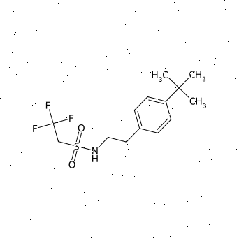 CC(C)(C)c1ccc(CCNS(=O)(=O)CC(F)(F)F)cc1